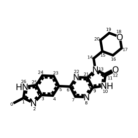 Cc1nc2cc(-c3cnc4[nH]c(=O)n(CC5CCOCC5)c4n3)ccc2[nH]1